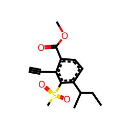 C#Cc1c(C(=O)OC)ccc(C(C)CC)c1S(C)(=O)=O